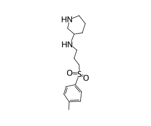 Cc1ccc(S(=O)(=O)CCCNC2CCCNC2)cc1